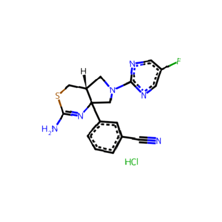 Cl.N#Cc1cccc(C23CN(c4ncc(F)cn4)C[C@H]2CSC(N)=N3)c1